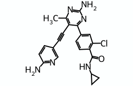 Cc1nc(N)nc(-c2ccc(C(=O)NC3CC3)c(Cl)c2)c1C#Cc1ccc(N)nc1